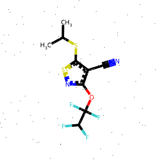 CC(C)Sc1snc(OC(F)(F)C(F)F)c1C#N